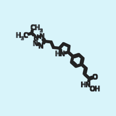 CC(C)n1nnc(CCC2CCC(c3ccc(/C=C/C(=O)NO)cc3)N2)n1